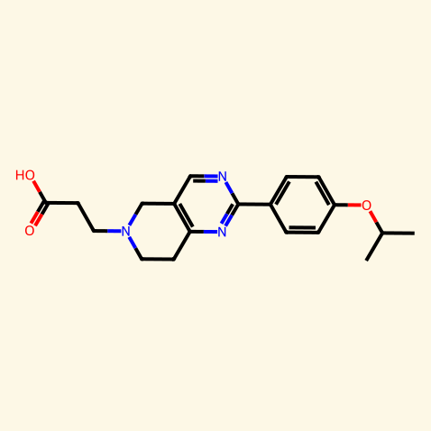 CC(C)Oc1ccc(-c2ncc3c(n2)CCN(CCC(=O)O)C3)cc1